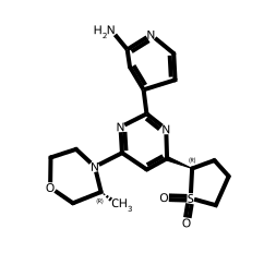 C[C@@H]1COCCN1c1cc([C@H]2CCCS2(=O)=O)nc(-c2ccnc(N)c2)n1